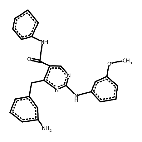 COc1cccc(Nc2ncc(C(=O)Nc3ccccc3)c(Cc3cccc(N)c3)n2)c1